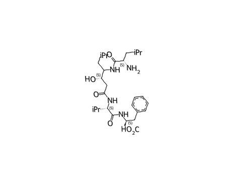 CC(C)CC(NC(=O)[C@@H](N)CC(C)C)[C@@H](O)CC(=O)N[C@H](C(=O)N[C@@H](Cc1ccccc1)C(=O)O)C(C)C